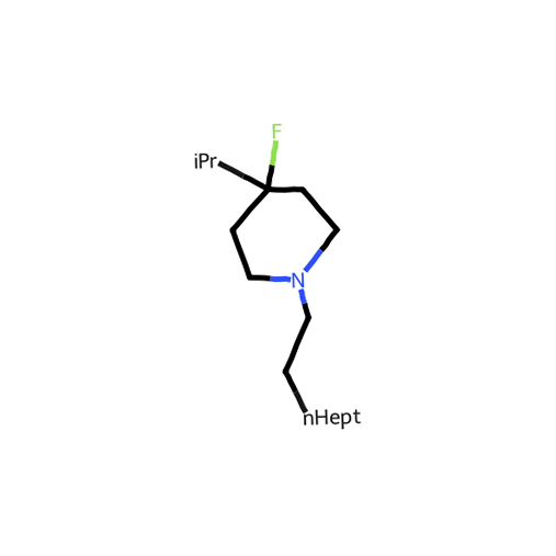 CCCCCCCCCN1CCC(F)(C(C)C)CC1